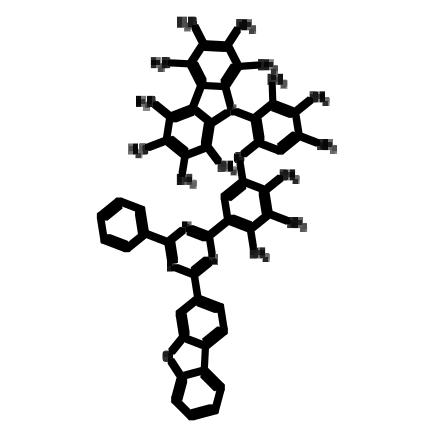 Bc1cc(Oc2cc(-c3nc(-c4ccccc4)nc(-c4ccc5c(c4)oc4ccccc45)n3)c(B)c(B)c2B)c(-n2c3c(B)c(B)c(B)c(B)c3c3c(B)c(B)c(B)c(B)c32)c(B)c1B